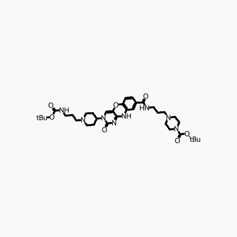 CC(C)(C)OC(=O)NCCCN1CCC(n2cc3c(nc2=O)Nc2cc(C(=O)NCCCN4CCN(C(=O)OC(C)(C)C)CC4)ccc2O3)CC1